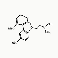 COC1=CC[CH]C(F)=C1c1cc(C(C)(C)C)ccc1OCCN(C)C